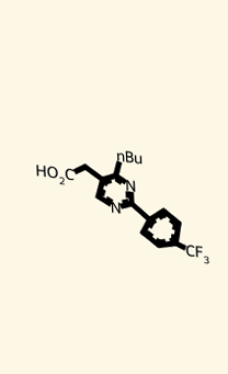 CCCCc1nc(-c2ccc(C(F)(F)F)cc2)ncc1CC(=O)O